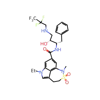 CCn1cc2c3c(cc(C(=O)N[C@@H](Cc4ccccc4)[C@H](O)CNCC(F)(F)C(F)(F)F)cc31)N(C)S(=O)(=O)CC2